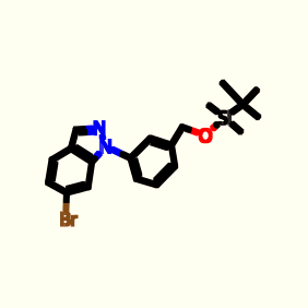 CC(C)(C)[Si](C)(C)OCc1cccc(-n2ncc3ccc(Br)cc32)c1